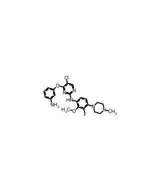 COc1c(Nc2ncc(Cl)c(Oc3cccc(N)c3)n2)ccc(N2CCN(C)CC2)c1F